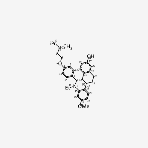 CCN(Cc1ccc(OCCN(C)C(C)C)cc1)c1cc(OC)ccc1[C@@H]1CCc2cc(O)ccc2C1